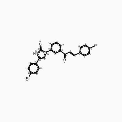 O=C(C=Cc1ccc(F)cc1)c1cccc(-n2cc(-c3ccc(O)cc3)[nH]c2=O)c1